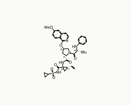 C=C[C@@H]1C[C@]1(NC(=O)[C@@H]1C[C@@H](Oc2nccc3cc(OC)ccc23)CN1C(=O)[C@H](Nc1ccccc1)C(C)(C)C)C(=O)NS(=O)(=O)C1CC1